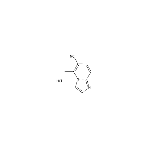 Cc1c(C#N)ccc2nccn12.Cl